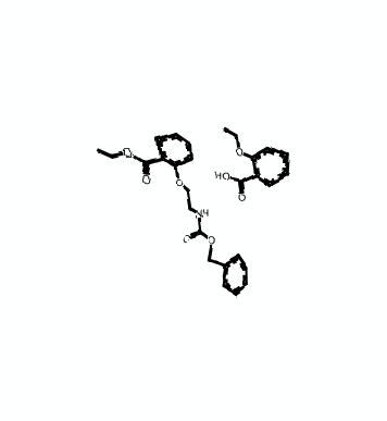 CCOC(=O)c1ccccc1OCCNC(=O)OCc1ccccc1.CCOc1ccccc1C(=O)O